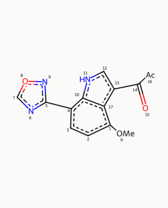 COc1ccc(-c2ncon2)c2[nH]cc(C(=O)C(C)=O)c12